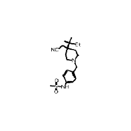 CCC(C)(C)C1(CC#N)CCN(Cc2ccc(NS(C)(=O)=O)cc2)CC1